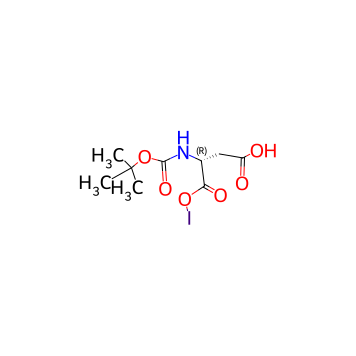 CC(C)(C)OC(=O)N[C@H](CC(=O)O)C(=O)OI